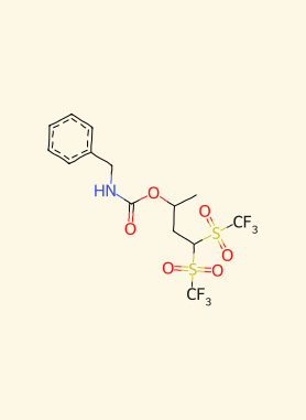 CC(CC(S(=O)(=O)C(F)(F)F)S(=O)(=O)C(F)(F)F)OC(=O)NCc1ccccc1